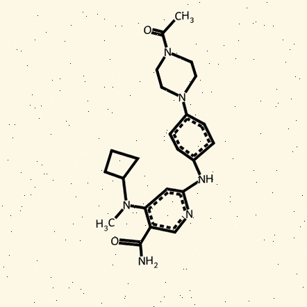 CC(=O)N1CCN(c2ccc(Nc3cc(N(C)C4CCC4)c(C(N)=O)cn3)cc2)CC1